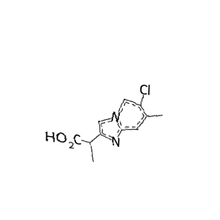 Cc1cc2nc(C(C)C(=O)O)cn2cc1Cl